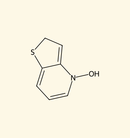 ON1C=CC=C2SCC=C21